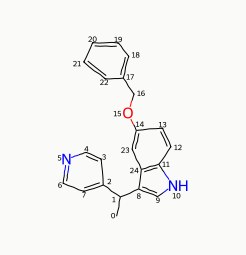 CC(c1ccncc1)c1c[nH]c2ccc(OCc3ccccc3)cc12